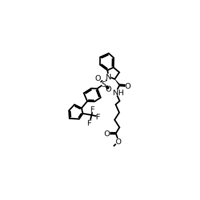 COC(=O)CCCCCNC(=O)[C@@H]1Cc2ccccc2N1S(=O)(=O)c1ccc(-c2ccccc2C(F)(F)F)cc1